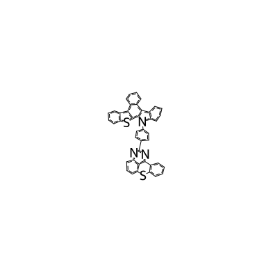 c1ccc2c(c1)Sc1cccc3nc(-c4ccc(-n5c6ccccc6c6c7ccccc7c7c8ccccc8sc7c65)cc4)nc-2c13